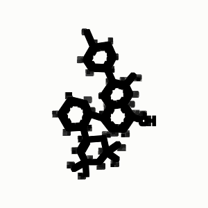 Cc1ccc(-c2cc3c(-c4ccccc4C4=CC(C)(C)CC(C)(C)C4)ccc(O)c3cc2C)cc1